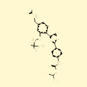 COC(=O)NCc1ccc(-c2cnc(-c3ccc(NC(=O)OC(C)C)cc3)s2)c(SNC(C)(C)C)c1